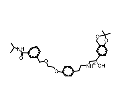 CC(C)NC(=O)c1cccc(COCCOc2ccc(CCNC[C@@H](O)c3ccc4c(c3)COC(C)(C)O4)cc2)c1